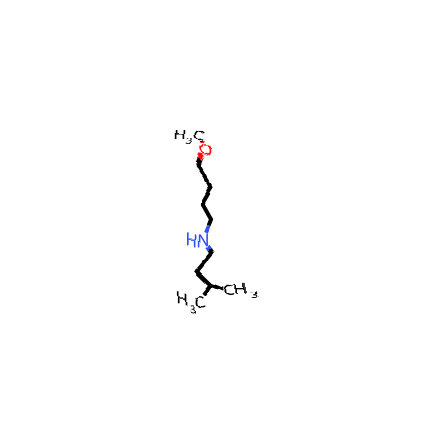 COCCCCNCCC(C)C